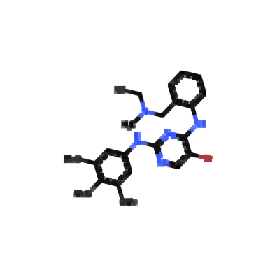 COc1cc(Nc2ncc(Br)c(Nc3ccccc3CN(C)CC#N)n2)cc(OC)c1OC